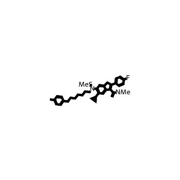 C=C(NC)C1=C(c2ccc(F)cc2)Cc2cc(N(CCCCCCCc3ccc(C)cc3)SC)c(C3CC3)cc21